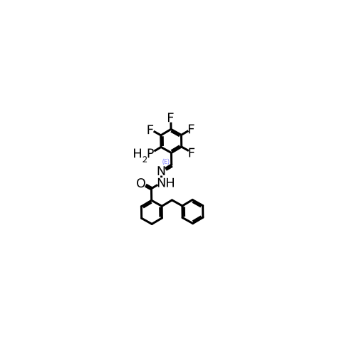 O=C(N/N=C/c1c(F)c(F)c(F)c(F)c1P)C1=CCCC=C1Cc1ccccc1